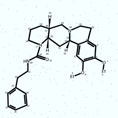 CCOc1cc2c(cc1OCC)[C@@H]1C[C@H]3[C@H](CCCN3C(=O)NCCc3ccccc3)CN1CC2